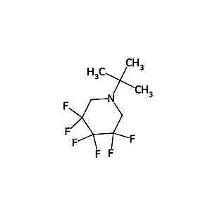 CC(C)(C)N1CC(F)(F)C(F)(F)C(F)(F)C1